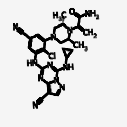 C=C(C(N)=O)N1[C@@H](C)CN(c2cc(C#N)cc(Nc3nc(NC4CC4)n4ncc(C#N)c4n3)c2Cl)C[C@@H]1C